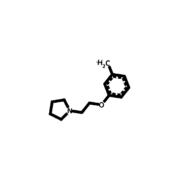 [CH2]c1cccc(OCCN2CCCC2)c1